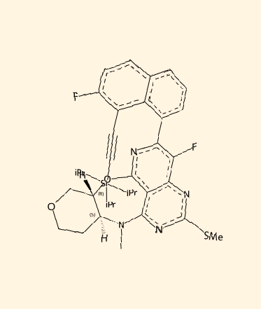 CSc1nc2c3c(nc(-c4cccc5ccc(F)c(C#C[Si](C(C)C)(C(C)C)C(C)C)c45)c(F)c3n1)O[C@H]1COCC[C@@H]1N2C